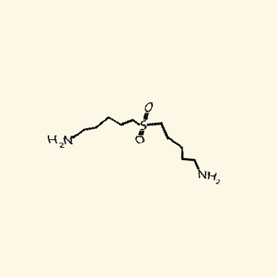 NCCCCCS(=O)(=O)CCCCCN